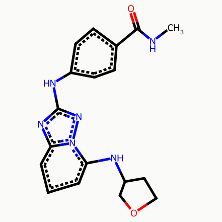 CNC(=O)c1ccc(Nc2nc3cccc(NC4CCOC4)n3n2)cc1